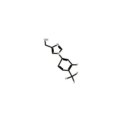 OCc1cn(-c2ccc(C(F)(F)F)c(F)c2)cn1